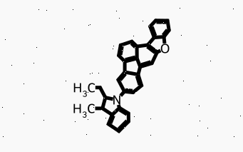 CCC1C(C)c2ccccc2N1c1ccc2c(c1)-c1cccc3c1c-2cc1oc2ccccc2c13